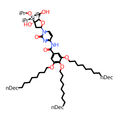 CCCCCCCCCCCCCCCCCCOc1cc(C(=O)Nc2ccn([C@H]3C[C@@](O)([Si](OC(C)C)(C(C)C)C(C)C)[C@@H](CO)O3)c(=O)n2)cc(OCCCCCCCCCCCCCCCCCC)c1OCCCCCCCCCCCCCCCCCC